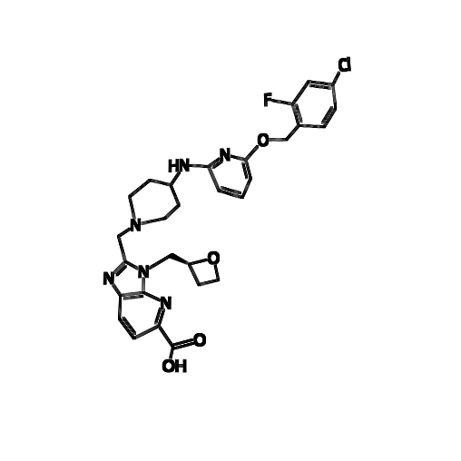 O=C(O)c1ccc2nc(CN3CCC(Nc4cccc(OCc5ccc(Cl)cc5F)n4)CC3)n(C[C@@H]3CCO3)c2n1